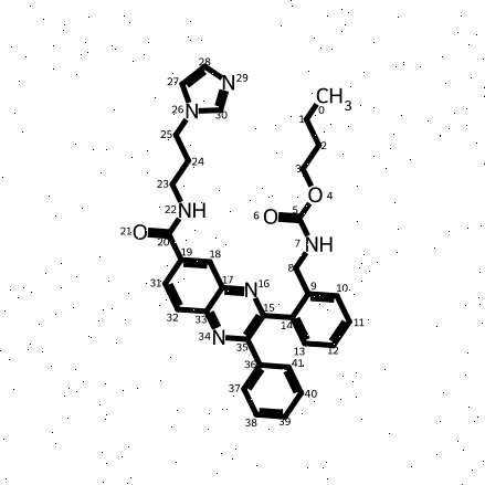 CCCCOC(=O)NCc1ccccc1-c1nc2cc(C(=O)NCCCn3ccnc3)ccc2nc1-c1ccccc1